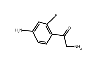 NCC(=O)c1ccc(N)cc1F